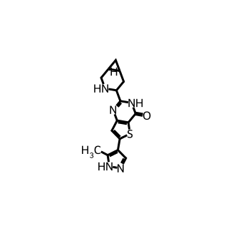 Cc1[nH]ncc1-c1cc2nc(C3CC4C[C@H]4CN3)[nH]c(=O)c2s1